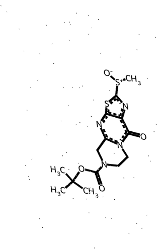 C[S+]([O-])c1nc2c(=O)n3c(nc2s1)CN(C(=O)OC(C)(C)C)CC3